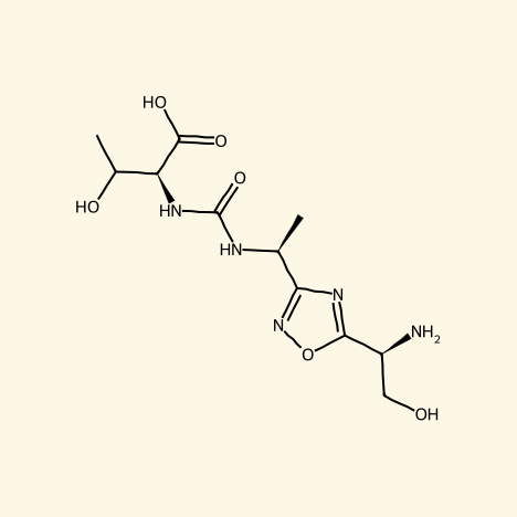 CC(O)[C@H](NC(=O)N[C@@H](C)c1noc([C@@H](N)CO)n1)C(=O)O